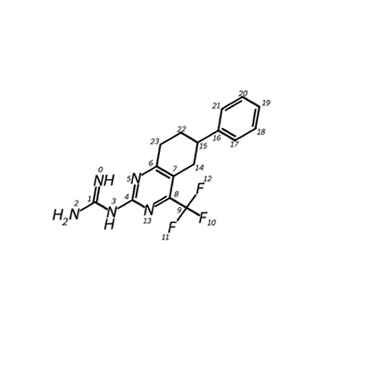 N=C(N)Nc1nc2c(c(C(F)(F)F)n1)CC(c1ccccc1)CC2